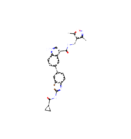 Cc1noc(C)c1CNC(=O)c1c[nH]c2ccc(-c3ccc4nc(NC(=O)C5CC5)sc4c3)cc12